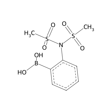 CS(=O)(=O)N(c1ccccc1B(O)O)S(C)(=O)=O